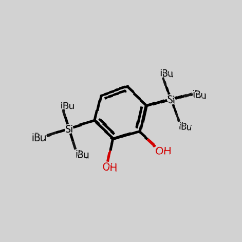 CCC(C)[Si](c1ccc([Si](C(C)CC)(C(C)CC)C(C)CC)c(O)c1O)(C(C)CC)C(C)CC